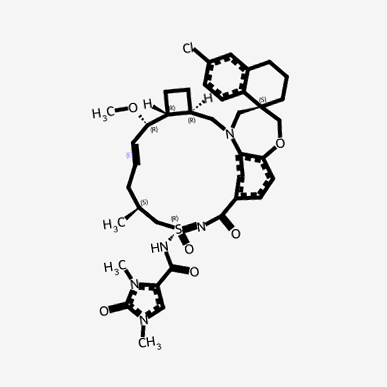 CO[C@H]1/C=C/C[C@H](C)C[S@@](=O)(NC(=O)c2cn(C)c(=O)n2C)=NC(=O)c2ccc3c(c2)N(C[C@@H]2CC[C@H]21)C[C@@]1(CCCc2cc(Cl)ccc21)CO3